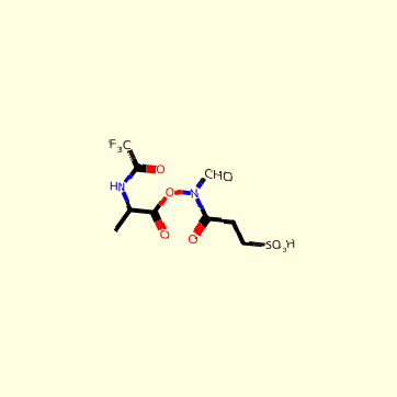 CC(NC(=O)C(F)(F)F)C(=O)ON(C=O)C(=O)CCS(=O)(=O)O